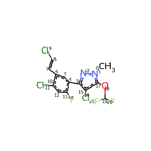 Cn1nc(-c2cc(C=[C]Cl)c(Cl)cc2F)c(Cl)c1OC(F)F